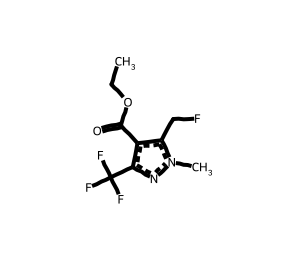 CCOC(=O)c1c(C(F)(F)F)nn(C)c1CF